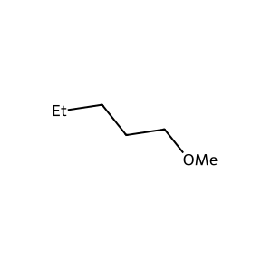 [CH]CCCCOC